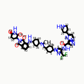 CN(CC1CCC(n2cc(NC(=O)c3cnn4ccc(C5CCNCC5)nc34)c(C(F)F)n2)CC1)[C@H]1CC[C@H](Nc2cccc3c2C(=O)N(C2CCC(=O)NC2=O)C3=O)CC1